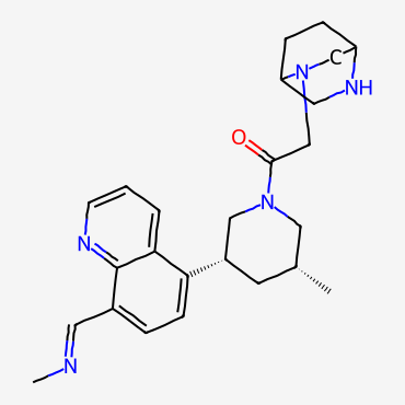 C/N=C/c1ccc([C@H]2C[C@@H](C)CN(C(=O)CN3CC4CCC3CN4)C2)c2cccnc12